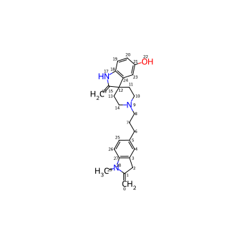 C=C1Cc2cc(CCCN3CCC4(CC3)C(=C)Nc3ccc(O)cc34)ccc2N1C